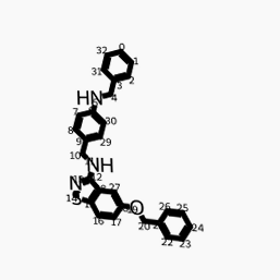 c1ccc(CNc2ccc(CNc3nsc4ccc(OCc5ccccc5)cc34)cc2)cc1